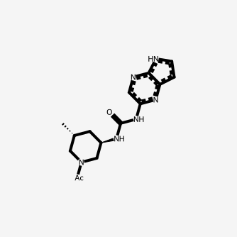 CC(=O)N1C[C@H](C)C[C@@H](NC(=O)Nc2cnc3[nH]ccc3n2)C1